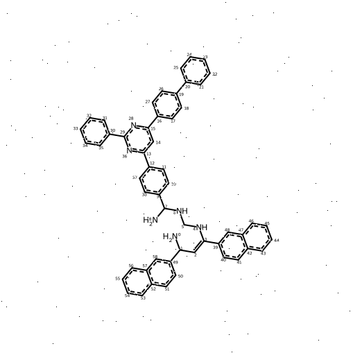 NC(/C=C(\NCNC(N)c1ccc(-c2cc(-c3ccc(-c4ccccc4)cc3)nc(-c3ccccc3)n2)cc1)c1ccc2ccccc2c1)c1ccc2ccccc2c1